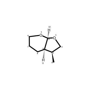 C[C@@H]1CO[C@@H]2OCCC[C@@H]21